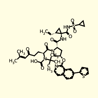 C=C[C@@H]1C[C@]1(NC(=O)[C@@H]1C[C@@H](Oc2nccc3ccc(-c4cccs4)cc23)CN1C(=O)[C@H](CCC(=O)C=C(C)C)N(C(=O)O)C(C)(C)C)C(=O)NS(=O)(=O)C1CC1